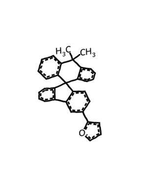 CC1(C)c2ccccc2C2(c3ccccc3-c3cc(-c4ccco4)ccc32)c2ccccc21